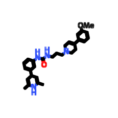 COc1cccc(C2=CCN(CCCNC(=O)Nc3cccc(C4C=C(C)NC(C)=C4)c3)CC2)c1